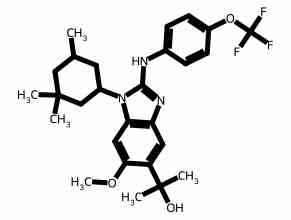 COc1cc2c(cc1C(C)(C)O)nc(Nc1ccc(OC(F)(F)F)cc1)n2C1CC(C)CC(C)(C)C1